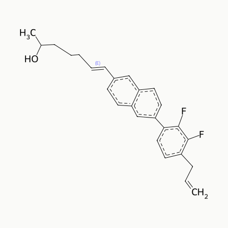 C=CCc1ccc(-c2ccc3cc(/C=C/CCCC(C)O)ccc3c2)c(F)c1F